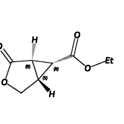 CCOC(=O)[C@@H]1[C@@H]2COC(=O)[C@H]21